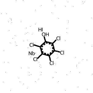 I.Oc1c(Cl)c(Cl)c(Cl)c(Cl)c1Cl.[Nb]